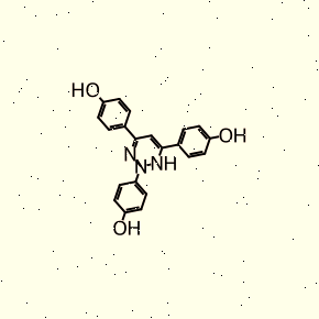 Oc1ccc(C2=CC(c3ccc(O)cc3)=NN(c3ccc(O)cc3)N2)cc1